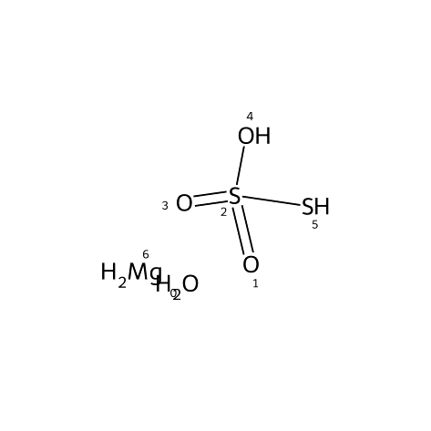 O.O=S(=O)(O)S.[MgH2]